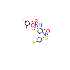 Cc1cc(C)cc(CS(=O)(=O)NC(=O)c2ccc(N3C(=O)CSC3c3ccc(F)cc3)c(C)c2)c1